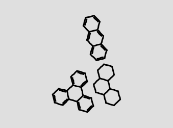 C1CCC2C(C1)CCC1CCCCC12.c1ccc2c(c1)c1ccccc1c1ccccc21.c1ccc2cc3ccccc3cc2c1